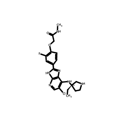 CC[C@]1(Nc2c(Cl)cnc3[nH]c(-c4ccc(OCC(=O)NC)c(F)c4)nc23)CCNC1